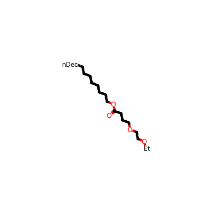 CCCCCCCCCCCCCCCCCCOC(=O)CCCOCCOCC